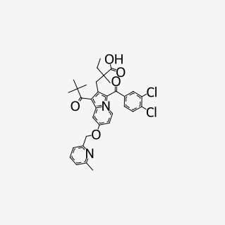 CCC(C)(Cc1c(C(=O)C(C)(C)C)c2cc(OCc3cccc(C)n3)ccn2c1C(=O)c1ccc(Cl)c(Cl)c1)C(=O)O